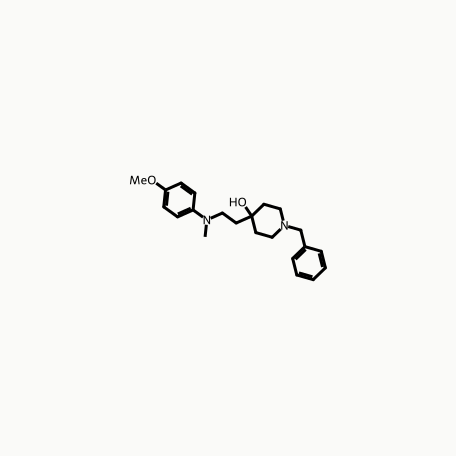 COc1ccc(N(C)CCC2(O)CCN(Cc3ccccc3)CC2)cc1